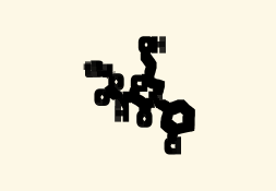 CC(C)(C)OC(=O)NC(Cl)C(=O)N(CCCCO)c1cccc(Cl)c1